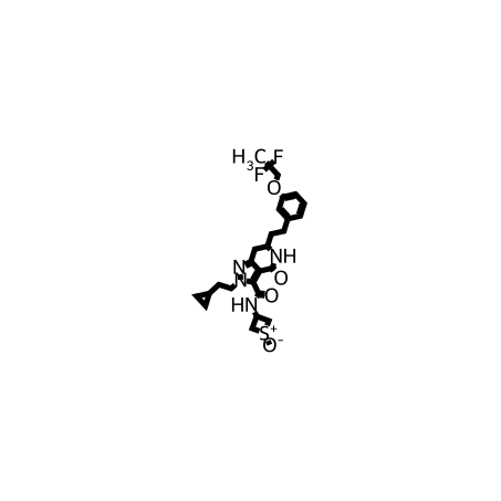 CC(F)(F)COc1cccc(CCC2Cc3nn(CCC4CC4)c(C(=O)NC4C[S+]([O-])C4)c3C(=O)N2)c1